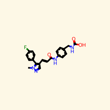 Cn1ncc(/C=C/C(=O)Nc2ccc(CNC(=O)O)cc2)c1-c1ccc(F)cc1